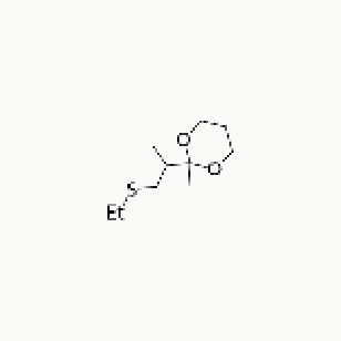 CCSCC(C)C1(C)OCCCO1